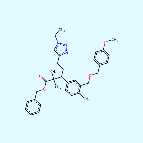 CCn1cc(CCC(c2ccc(C)c(COCc3ccc(OC)cc3)c2)C(C)(C)C(=O)OCc2ccccc2)nn1